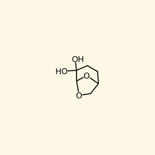 OC1(O)CCC2COC1O2